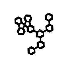 c1ccc(-c2cccc(-c3cc(-c4cccc(-c5ccccc5)c4)nc(-c4ccc5c(c4)-c4ccccc4C54c5ccccc5-c5ccccc54)n3)c2)cc1